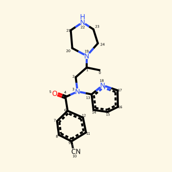 CC(CN(C(=O)c1ccc(C#N)cc1)c1ccccn1)N1CCNCC1